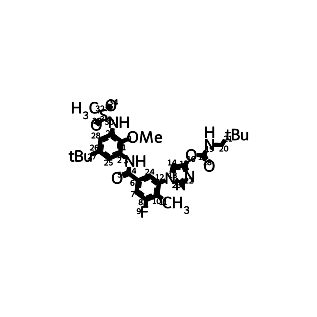 COc1c(NC(=O)c2cc(F)c(C)c(-n3cc(OC(=O)NCC(C)(C)C)nn3)c2)cc(C(C)(C)C)cc1NS(C)(=O)=O